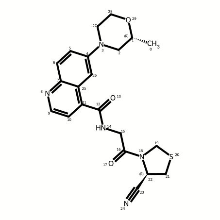 C[C@@H]1CN(c2ccc3nccc(C(=O)NCC(=O)N4CSC[C@H]4C#N)c3c2)CCO1